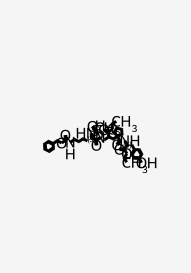 CCOC(=O)C(CNC(=O)[C@H](CCCCNC(=O)OCc1ccccc1)NS(C)(=O)=O)CC1(C(=O)N[C@@H](Cc2ccc(O)cc2)C(=O)OCC)CCCC1